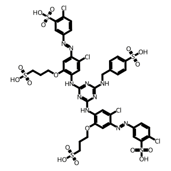 O=S(=O)(O)CCCOc1cc(N=Nc2ccc(Cl)c(S(=O)(=O)O)c2)c(Cl)cc1Nc1nc(NCc2ccc(S(=O)(=O)O)cc2)nc(Nc2cc(Cl)c(N=Nc3ccc(Cl)c(S(=O)(=O)O)c3)cc2OCCCS(=O)(=O)O)n1